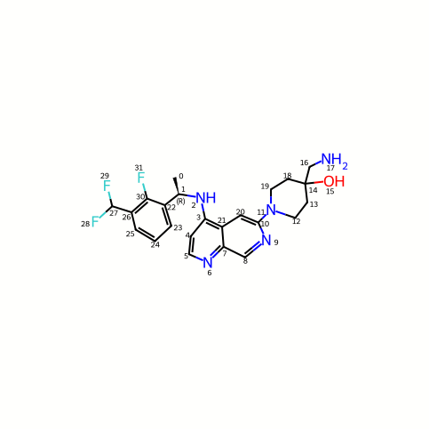 C[C@@H](Nc1ccnc2cnc(N3CCC(O)(CN)CC3)cc12)c1cccc(C(F)F)c1F